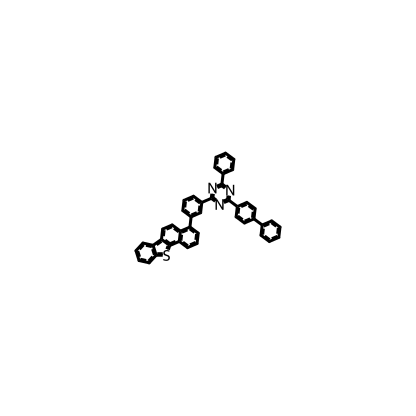 c1ccc(-c2ccc(-c3nc(-c4ccccc4)nc(-c4cccc(-c5cccc6c5ccc5c7ccccc7sc65)c4)n3)cc2)cc1